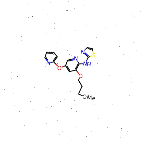 COCCCOc1cc(Oc2ccccn2)cnc1Nc1nccs1